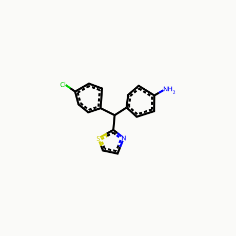 Nc1ccc(C(c2ccc(Cl)cc2)c2nccs2)cc1